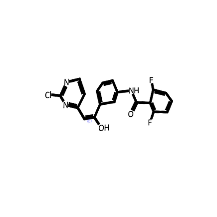 O=C(Nc1cccc(/C(O)=C\c2ccnc(Cl)n2)c1)c1c(F)cccc1F